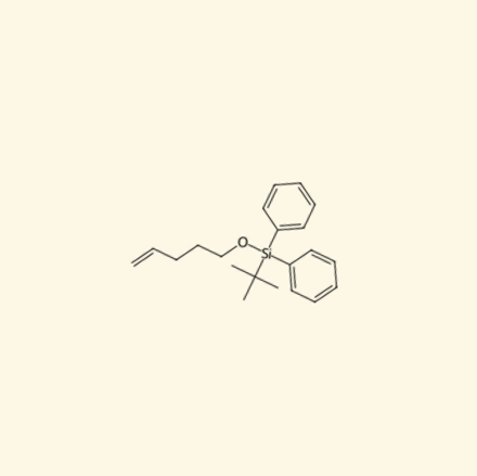 C=CCCCO[Si](c1ccccc1)(c1ccccc1)C(C)(C)C